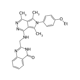 CCOc1ccc(-n2c(C)c3c(C)nnc(NCc4nc5ccccc5c(=O)[nH]4)c3c2C)cc1